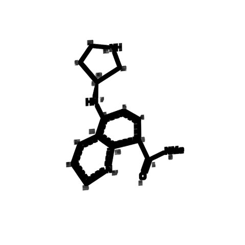 CNC(=O)c1ccc(N[C@H]2CCNC2)c2cccnc12